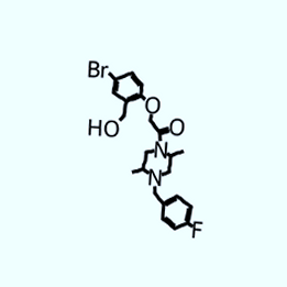 CC1CN(C(=O)COc2ccc(Br)cc2CO)C(C)CN1Cc1ccc(F)cc1